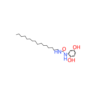 CCCCCCCCCCCCCCCCNC(=O)Nc1cc(O)ccc1O